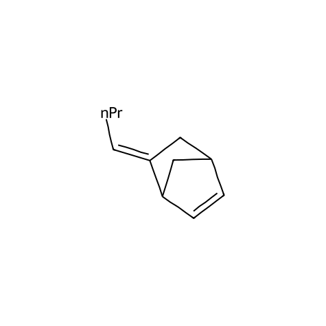 CCCC=C1CC2C=CC1C2